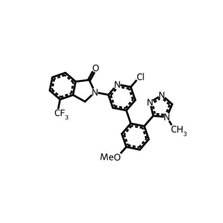 COc1ccc(-c2nncn2C)c(-c2cc(Cl)nc(N3Cc4c(cccc4C(F)(F)F)C3=O)c2)c1